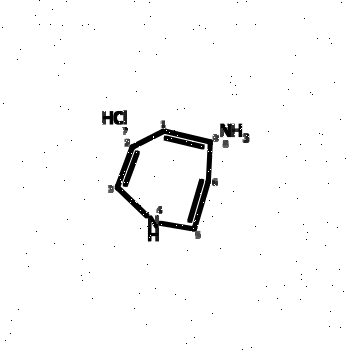 C1=CC=CNC=C1.Cl.N